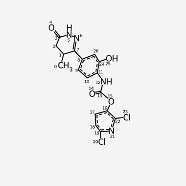 CC1CC(=O)NN=C1c1ccc(NC(=O)Oc2ccc(Cl)nc2Cl)c(O)c1